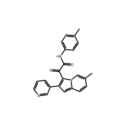 Cc1ccc(NC(=O)C(=O)c2c(-c3cccnc3)cc3ccc(C)cn23)cc1